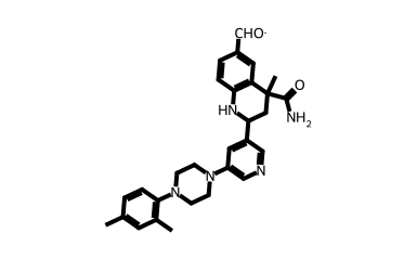 Cc1ccc(N2CCN(c3cncc(C4CC(C)(C(N)=O)c5cc([C]=O)ccc5N4)c3)CC2)c(C)c1